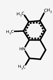 Cc1cc2c(c(C)c1C)NC(C)CC2